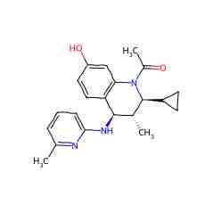 CC(=O)N1c2cc(O)ccc2[C@H](Nc2cccc(C)n2)[C@@H](C)[C@@H]1C1CC1